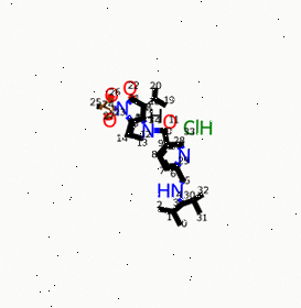 CC(C)C(NCc1ccc(C(=O)N2CC=C3[C@H]2[C@@H](C(C)C)C(=O)N3S(C)(=O)=O)cn1)C(C)C.Cl